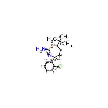 CC(C)(C)C1CC2CC2(c2ccccc2Cl)N=C(N)S1